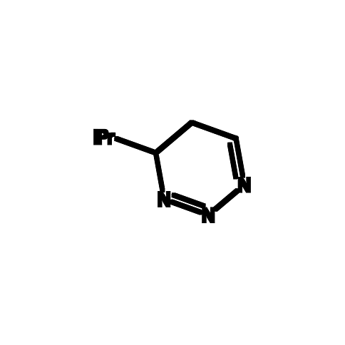 CC(C)C1CC=NN=N1